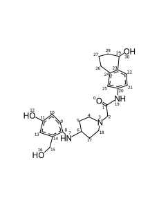 O=C(CN1CCC(Nc2ccc(O)cc2CO)CC1)Nc1ccc2c(c1)CCCC2O